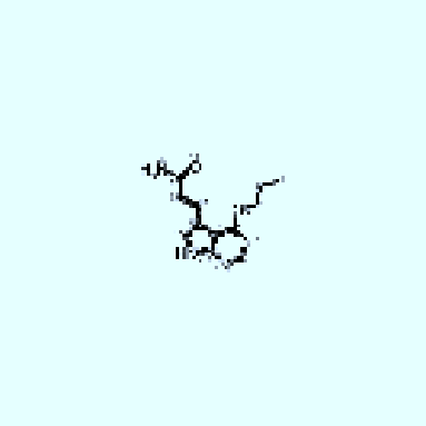 CCCOc1ncnc2[nH]cc(C=CC(N)=O)c12